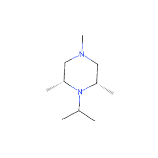 CC(C)N1[C@H](C)CN(C)C[C@@H]1C